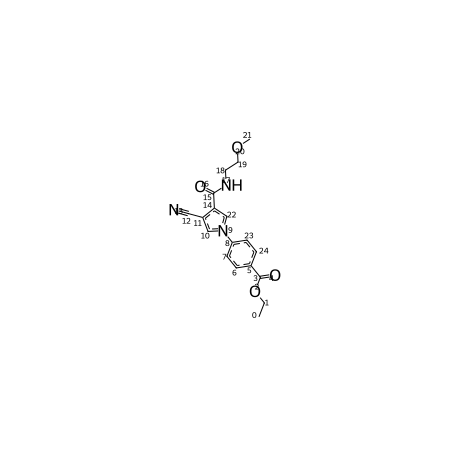 CCOC(=O)c1ccc(-n2cc(C#N)c(C(=O)NCCOC)c2)cc1